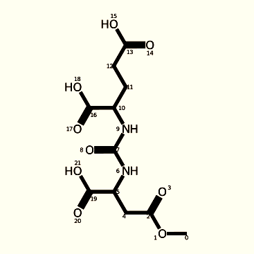 COC(=O)CC(NC(=O)NC(CCC(=O)O)C(=O)O)C(=O)O